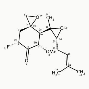 CO[C@@H]1C(=O)[C@H](F)C[C@]2(CO2)[C@H]1C1(C)O[C@@H]1CC=C(C)C